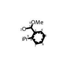 COC([O])c1ccccc1C(C)C